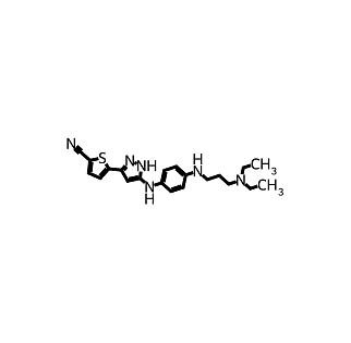 CCN(CC)CCCNc1ccc(Nc2cc(-c3ccc(C#N)s3)n[nH]2)cc1